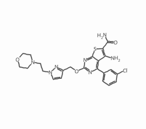 NC(=O)c1sc2nc(OCc3ccn(CCN4CCOCC4)n3)nc(-c3cccc(Cl)c3)c2c1N